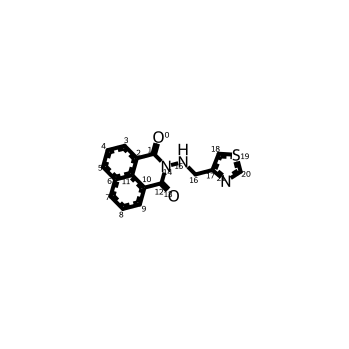 O=C1c2cccc3cccc(c23)C(=O)N1NCc1cscn1